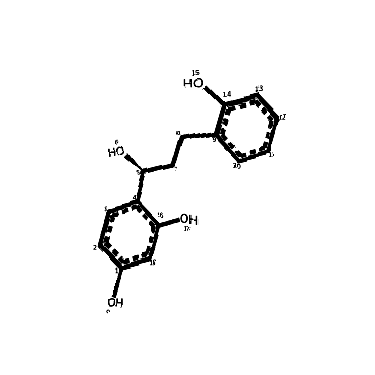 Oc1ccc([C@@H](O)CCc2ccccc2O)c(O)c1